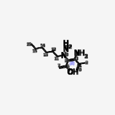 C=C(C)/C(N)=C(\C(=C)O)N(N)CCCCCC